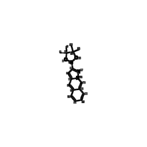 CC1(C)OB(c2cc3cc4ccccc4cn3n2)OC1(C)C